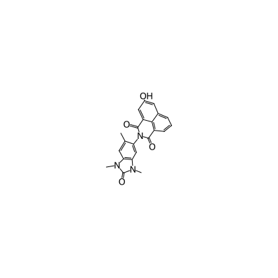 Cc1cc2c(cc1N1C(=O)c3cccc4cc(O)cc(c34)C1=O)n(C)c(=O)n2C